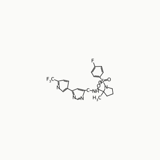 CC1(C(=O)NCc2cc(-c3ccc(C(F)(F)F)nc3)ncn2)CCCN1S(=O)(=O)c1ccc(F)cc1